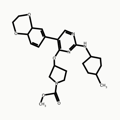 COC(=O)N1CCC(Oc2nc(NC3CCC(C)CC3)ncc2C2=CC3OCCOC3C=C2)C1